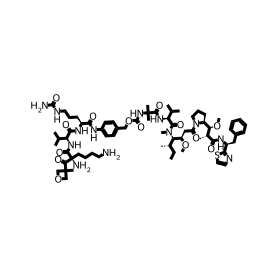 CC[C@H](C)[C@@H]([C@@H](CC(=O)N1CCC[C@H]1[C@H](OC)[C@@H](C)C(=O)N[C@@H](Cc1ccccc1)c1nccs1)OC)N(C)C(=O)[C@@H](NC(=O)C(C)(C)NC(=O)OCc1ccc(NC(=O)[C@H](CCCNC(N)=O)NC(=O)[C@@H](NC(=O)[C@@](N)(CCCCN)C(=O)C2(C)COC2)C(C)C)cc1)C(C)C